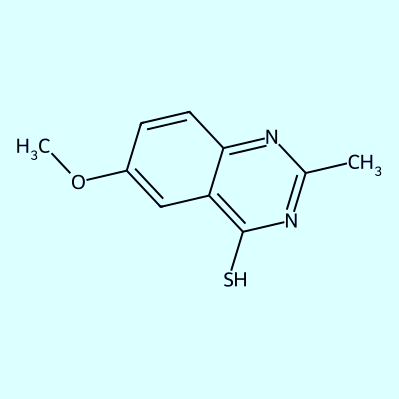 COc1ccc2nc(C)nc(S)c2c1